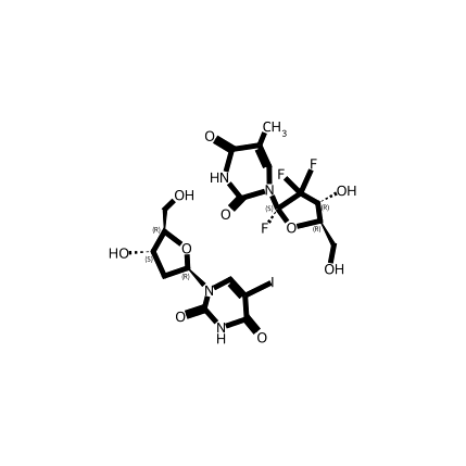 Cc1cn([C@]2(F)O[C@H](CO)[C@@H](O)C2(F)F)c(=O)[nH]c1=O.O=c1[nH]c(=O)n([C@H]2C[C@H](O)[C@@H](CO)O2)cc1I